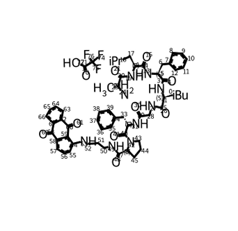 CCC(C)[C@H](NC(=O)[C@H](Cc1ccccc1)NC(=O)[C@H](CC(C)C)NC(=O)[C@@H](C)N)C(=O)NCC(=O)N[C@@H](Cc1ccccc1)C(=O)N1CCC[C@H]1C(=O)NCCCNc1cccc2c1C(=O)c1ccccc1C2=O.O=C(O)C(F)(F)F